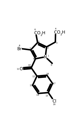 Cn1c(CC(=O)O)c(C(=O)O)c(Br)c1C(=O)c1ccc(Cl)cc1